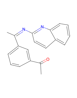 CC(=O)c1cccc(/C(C)=N\c2ccc3ccccc3n2)c1